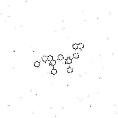 c1ccc(-c2cc(-c3cccc(-c4cccc5cccnc45)c3)nc(-c3cccc(-c4cc(-c5ccccc5)nc5c4ccc4ccc(-c6ccccc6)nc45)c3)n2)cc1